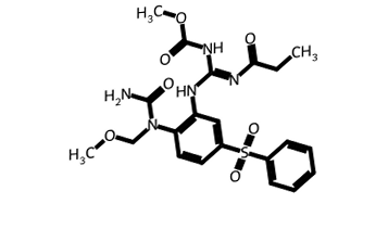 CCC(=O)N=C(NC(=O)OC)Nc1cc(S(=O)(=O)c2ccccc2)ccc1N(COC)C(N)=O